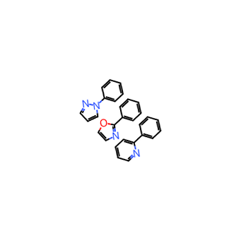 c1ccc(-c2ccccn2)cc1.c1ccc(-c2ncco2)cc1.c1ccc(-n2cccn2)cc1